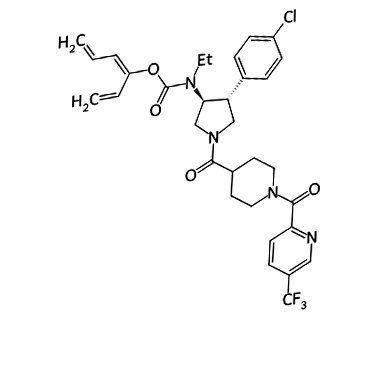 C=C/C=C(\C=C)OC(=O)N(CC)[C@@H]1CN(C(=O)C2CCN(C(=O)c3ccc(C(F)(F)F)cn3)CC2)C[C@H]1c1ccc(Cl)cc1